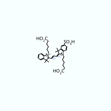 CC1(C)C(/C=C/C=C2/N(CCCCCC(=O)O)c3ccc(S(=O)(=O)O)cc3C2(C)C)=[N+](CCCCCC(=O)O)c2ccccc21